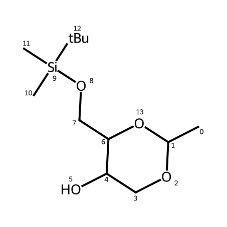 CC1OCC(O)C(CO[Si](C)(C)C(C)(C)C)O1